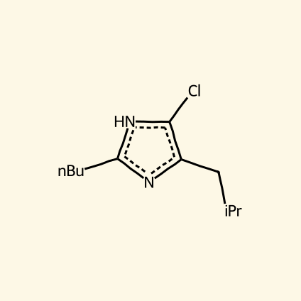 CCCCc1nc(CC(C)C)c(Cl)[nH]1